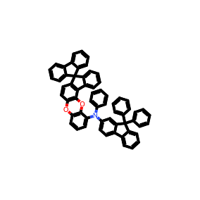 c1ccc(N(c2ccc3c(c2)C(c2ccccc2)(c2ccccc2)c2ccccc2-3)c2cccc3c2Oc2c(ccc4c2-c2ccccc2C42c4ccccc4-c4ccccc42)O3)cc1